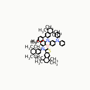 Cc1cc2c3c(c1)N(c1ccc4c(c1)C(C)(C)CCC4(C)C)c1c(sc4cc5c(cc14)C(C)(C)CCC5(C)C)B3c1ccc(N(c3ccccc3)c3ccccc3)cc1N2c1cc2c(cc1-c1ccc(C(C)(C)C)cc1)C(C)(C)CCC2(C)C